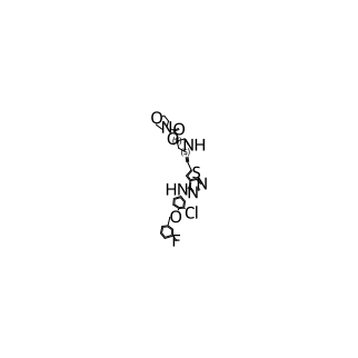 O=C(O[C@@H]1CN[C@H](C#Cc2cc3c(Nc4ccc(OCc5cccc(F)c5)c(Cl)c4)ncnc3s2)C1)N1CCOCC1